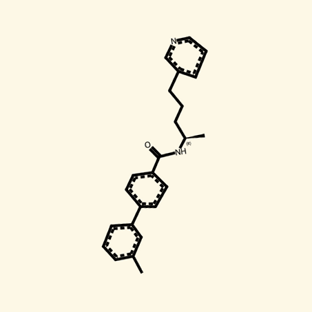 Cc1cccc(-c2ccc(C(=O)N[C@H](C)CCCc3cccnc3)cc2)c1